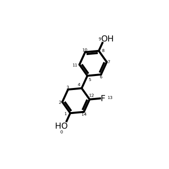 OC1=CCC(c2ccc(O)cc2)C(F)=C1